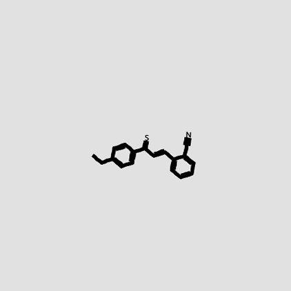 CCc1ccc(C(=S)C=Cc2ccccc2C#N)cc1